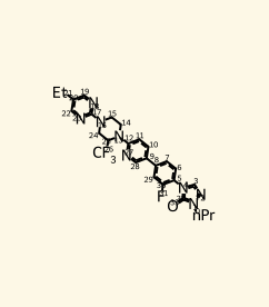 CCCn1ncn(-c2ccc(-c3ccc(N4CCN(c5ncc(CC)cn5)CC4C(F)(F)F)nc3)cc2F)c1=O